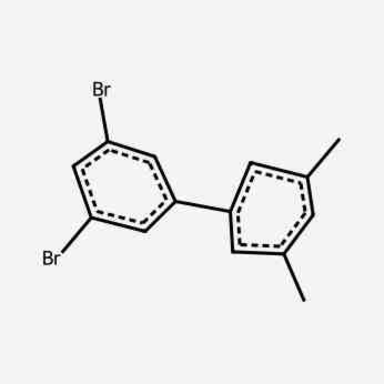 Cc1cc(C)cc(-c2cc(Br)cc(Br)c2)c1